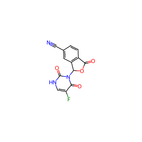 N#Cc1ccc2c(c1)C(n1c(=O)[nH]cc(F)c1=O)OC2=O